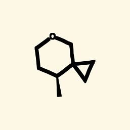 C[C@H]1CCOCC12CC2